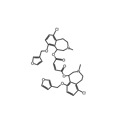 CN1CCc2c(Cl)ccc(OCc3ccoc3)c2C(OC(=O)/C=C\C(=O)OC2CN(C)CCc3c(Cl)ccc(OCc4ccoc4)c32)C1